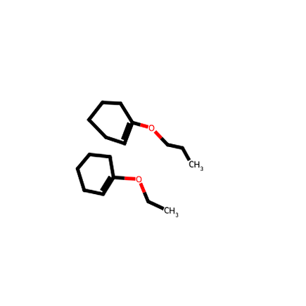 CCCOC1=CCCCC1.CCOC1=CCCCC1